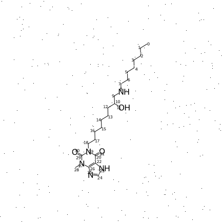 CCCCCCCCNCC(O)CCCCCCCn1c(=O)c2[nH]cnc2n(C)c1=O